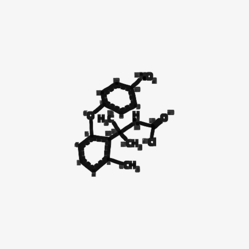 Cc1cccc(Oc2ccc([N+](=O)[O-])cc2)c1C(C)(C)NC(=O)Cl